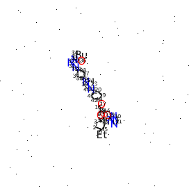 CCC1=CCC(C)([C@]2(Cn3nccn3)OC[C@@H](COc3ccc(N4CCN(c5ccc(-n6cnn(C(C)CC)c6=O)cc5)CC4)cc3)O2)C=C1